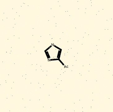 CC(=O)C1=C[N]C=N1